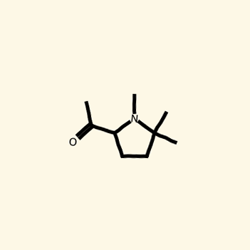 CC(=O)C1CCC(C)(C)N1C